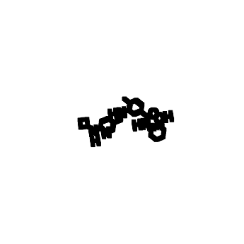 Cc1ccc(C(=O)N[C@H]2CCCC[C@@H]2O)cc1NCc1ccc(NC2CCC2)nc1